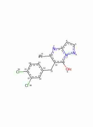 CC(C)c1nc2ccnn2c(O)c1Cc1ccc(Cl)c(Cl)c1